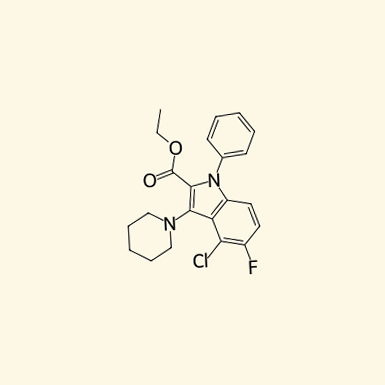 CCOC(=O)c1c(N2CCCCC2)c2c(Cl)c(F)ccc2n1-c1ccccc1